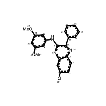 COc1cc(Nc2nc3cc(Cl)ccc3nc2-c2ccccc2)cc(OC)c1